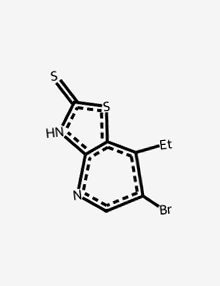 CCc1c(Br)cnc2[nH]c(=S)sc12